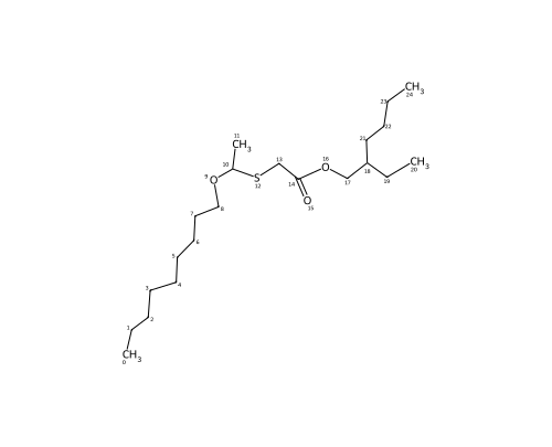 CCCCCCCCCOC(C)SCC(=O)OCC(CC)CCCC